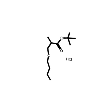 CCCCCCC(C)C(=O)OC(C)(C)C.Cl